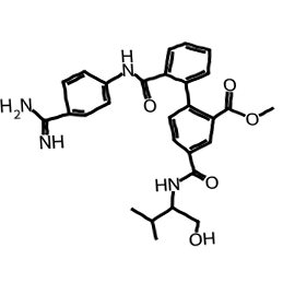 COC(=O)c1cc(C(=O)NC(CO)C(C)C)ccc1-c1ccccc1C(=O)Nc1ccc(C(=N)N)cc1